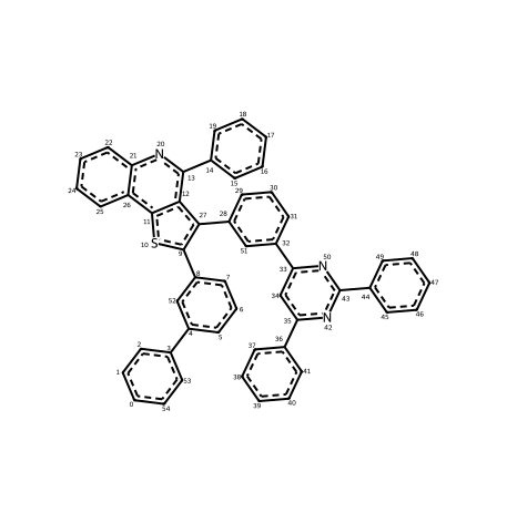 c1ccc(-c2cccc(-c3sc4c(c(-c5ccccc5)nc5ccccc54)c3-c3cccc(-c4cc(-c5ccccc5)nc(-c5ccccc5)n4)c3)c2)cc1